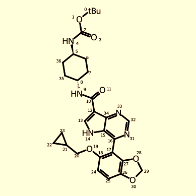 CC(C)(C)OC(=O)N[C@H]1CC[C@H](NC(=O)c2c[nH]c3c(-c4c(OCC5CC5)ccc5c4OCO5)ncnc23)CC1